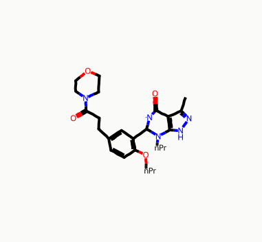 CCCOc1ccc(CCC(=O)N2CCOCC2)cc1C1[N]C(=O)c2c(C)n[nH]c2N1CCC